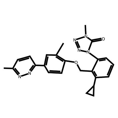 Cc1ccc(-c2ccc(OCc3c(C4CC4)cccc3-n3nnn(C)c3=O)c(C)c2)nn1